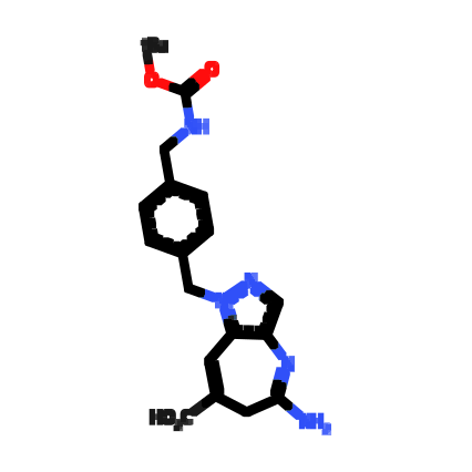 CC(C)(C)OC(=O)NCc1ccc(Cn2ncc3c2C=C(C(=O)O)CC(N)=N3)cc1